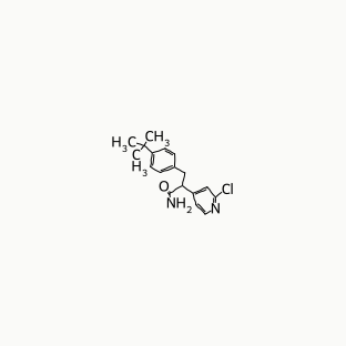 CC(C)(C)c1ccc(CC(C(N)=O)c2ccnc(Cl)c2)cc1